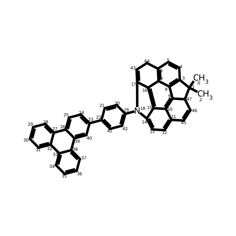 CC1(C)c2ccc3c4c2c2c5c(ccc6c5c4c(n6-c4ccc(-c5ccc6c7ccccc7c7ccccc7c6c5)cc4)=CC3)C=CC21